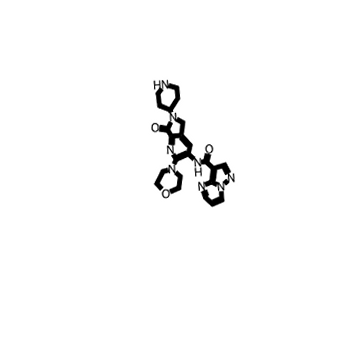 O=C(Nc1cc2c(nc1N1CCOCC1)C(=O)N(C1CCNCC1)C2)c1cnn2cccnc12